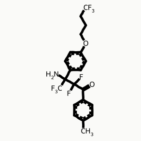 Cc1ccc(C(=O)C(F)(F)C(N)(c2ccc(OCCCC(F)(F)F)cc2)C(F)(F)F)cc1